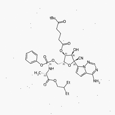 CCC(CC)COC(=O)[C@H](C)N[P@](=O)(OC[C@H]1O[C@@](C#N)(c2ccc3c(N)ncnn23)[C@H](O)[C@@H]1OC(=O)CCCC(=O)C(C)(C)C)Oc1ccccc1